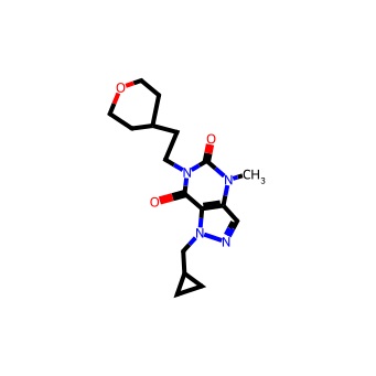 Cn1c(=O)n(CCC2CCOCC2)c(=O)c2c1cnn2CC1CC1